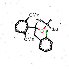 COc1cccc(OC)c1C(C#N)(Cc1ccccc1Br)O[Si](C)(C)C(C)(C)C